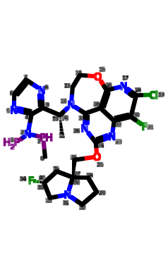 CPN(P)c1nccnc1[C@@H](C)N1CCOc2nc(Cl)c(F)c3nc(OC[C@@]45CCCN4C[C@H](F)C5)nc1c23